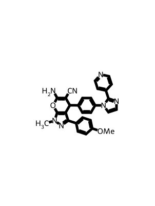 COc1ccc(-c2nn(C)c3c2C(c2ccc(-n4ccnc4-c4ccncc4)cc2)C(C#N)=C(N)O3)cc1